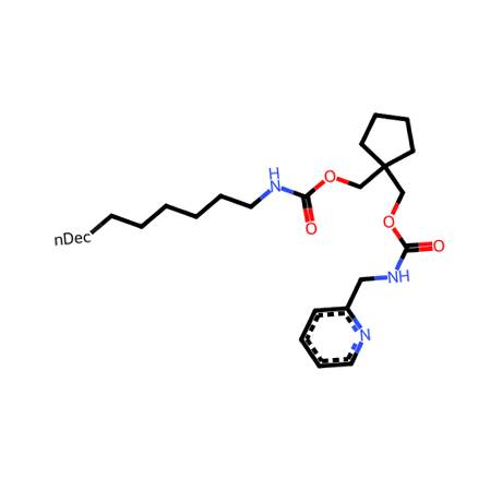 CCCCCCCCCCCCCCCCNC(=O)OCC1(COC(=O)NCc2ccccn2)CCCC1